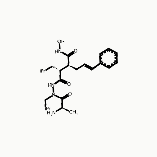 CC(C)C[C@@H](C(=O)NN(CC(C)C)C(=O)[C@@H](C)N)[C@H](CC=Cc1ccccc1)C(=O)NO